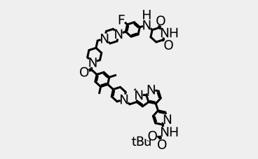 Cc1cc(C(=O)N2CCC(CN3CCN(c4ccc(NC5CCC(=O)NC5=O)cc4F)CC3)CC2)cc(C)c1C1=CCN(Cc2cc3c(-c4ccc(NC(=O)OC(C)(C)C)nc4)ccnc3n2C)CC1